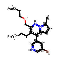 CCOC(=O)CCc1c(COCCOC)nn2c(CC)ccc2c1-c1cncc(Br)c1